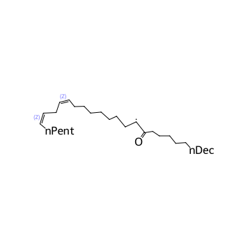 CCCCC/C=C\C/C=C\CCCCCCC[CH]C(=O)CCCCCCCCCCCCCCC